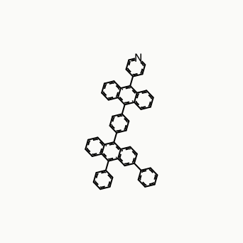 c1ccc(-c2ccc3c(-c4ccc(-c5c6ccccc6c(-c6ccncc6)c6ccccc56)cc4)c4ccccc4c(-c4ccccc4)c3c2)cc1